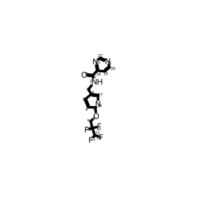 O=C(NCc1ccc(OCC(F)(F)C(F)F)nc1)c1ccncn1